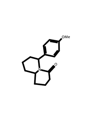 COc1ccc(C2CCCC3CCCC(=O)N32)cc1